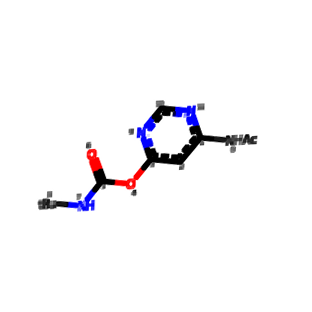 CC(=O)Nc1cc(OC(=O)NC(C)(C)C)ncn1